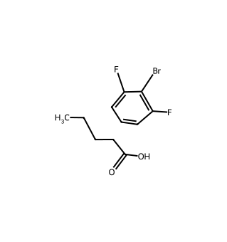 CCCCC(=O)O.Fc1cccc(F)c1Br